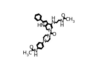 CC(=O)NCCNC1=CN(C(=O)N2CCN(c3ccc(NC(C)=O)cc3)CC2)Cc2[nH]c(-c3ccccc3)cc21